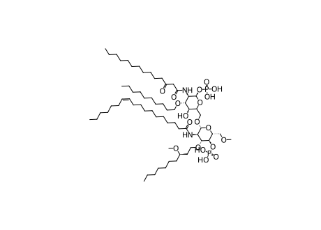 CCCCCC/C=C\CCCCCCCCCC(=O)N[C@H]1[C@H](OCC2O[C@H](OP(=O)(O)O)[C@H](NC(=O)CC(=O)CCCCCCCCCCC)[C@@H](OCCCCCCCCCC)[C@@H]2O)O[C@H](COC)[C@@H](OP(=O)(O)O)[C@@H]1OCC[C@@H](CCCCCCC)OC